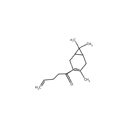 C=CCCC(=O)C1=C(C)CC2C(C1)C2(C)C